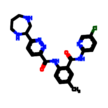 Cc1ccc(NC(=O)c2ccc(C3CNCCCN3)nn2)c(C(=O)Nc2ccc(Cl)cn2)c1